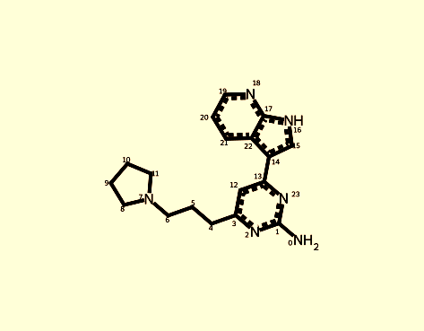 Nc1nc(CCCN2CCCC2)cc(-c2c[nH]c3ncccc23)n1